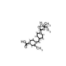 C[C@H]1CN(C(=O)O)CCN1CC1CCN(C(=O)OC(C)(C)C)CC1